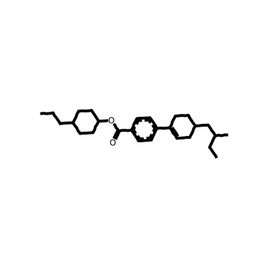 CCCC1CCC(OC(=O)c2ccc(C3=CCC(CC(C)CC)CC3)cc2)CC1